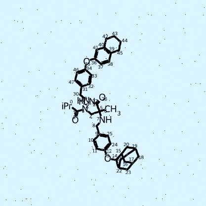 CC(C)C(=O)N(CC(C)(NCc1ccc(OC2C3CC4CC(C3)CC2C4)cc1)C(N)=O)NCc1ccc(Oc2ccc3c(c2)CCCC3)cc1